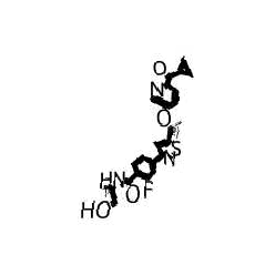 C[C@H](CO)NC(=O)c1ccc(-c2cc([C@@H](C)Oc3ccc(C(=O)C4CC4)nc3)sn2)cc1F